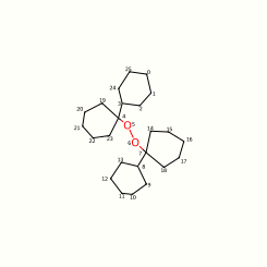 C1CCC(C2(OOC3(C4CCCCC4)CCCCC3)CCCCC2)CC1